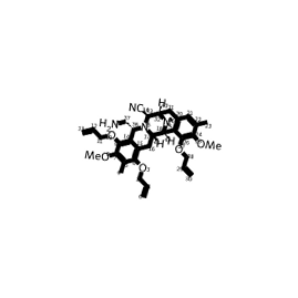 C=CCOc1c(C)c(OC)c(OCC=C)c2c1C[C@H]1[C@@H]3c4c(cc(C)c(OC)c4OCC=C)C[C@H]([C@H](C#N)N1[C@H]2CN)N3C